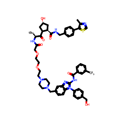 Cc1ncsc1-c1ccc(CNC(=O)[C@@H]2C[C@@H](O)CC2C(=O)[C@@H](NC(=O)COCCOCCN2CCN(Cc3ccc4c(c3)nc(NC(=O)c3cccc(C(F)(F)F)c3)n4-c3ccc(CO)cc3)CC2)C(C)(C)C)cc1